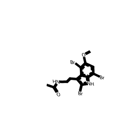 COc1cc(Br)c2[nH]c(Br)c(CCNC(C)=O)c2c1Br